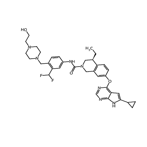 CC[C@@H]1CN(C(=O)Nc2ccc(CN3CCN(CCO)CC3)c(C(F)F)c2)Cc2cc(Oc3ncnc4[nH]c(C5CC5)cc34)ccc21